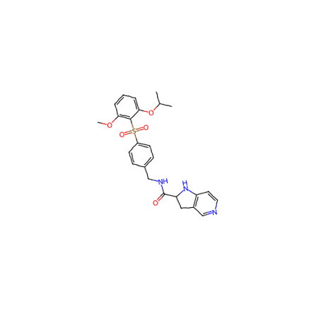 COc1cccc(OC(C)C)c1S(=O)(=O)c1ccc(CNC(=O)C2Cc3cnccc3N2)cc1